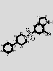 O=S(=O)(c1cc(Br)c2c(c1)CCN2)N1CCC(c2ccccc2)CC1